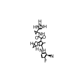 Cc1c(C(=O)C(=O)NC2(C3=CNNN3)CC2)c2n(c1CNc1ccc(F)c(C#N)c1)[C@@H]1C[C@@H]1C2